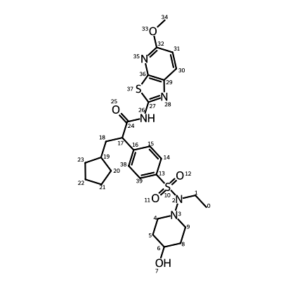 CCN(N1CCC(O)CC1)S(=O)(=O)c1ccc(C(CC2CCCC2)C(=O)Nc2nc3ccc(OC)nc3s2)cc1